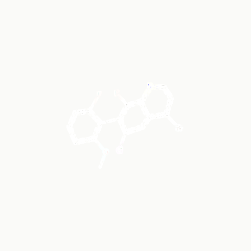 COc1cccc(F)c1-c1c(Cl)cc2c(Br)ccnc2c1F